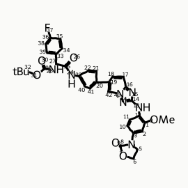 COc1cc(N2CCOC2=O)ccc1Nc1nc2ccc(-c3ccc(NC(=O)[C@H](NC(=O)OC(C)(C)C)c4ccc(F)cc4)cc3)cn2n1